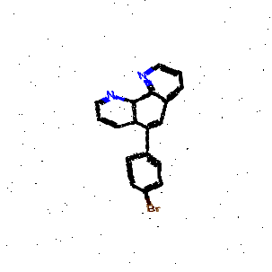 Brc1ccc(C2=Cc3cccnc3C3N=CC=CC23)cc1